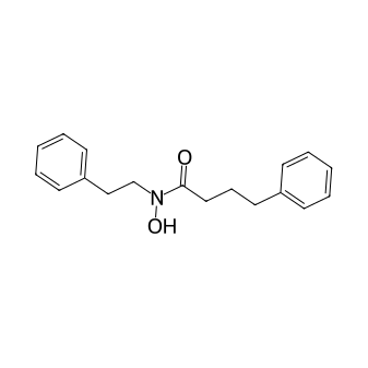 O=C(CCCc1ccccc1)N(O)CCc1ccccc1